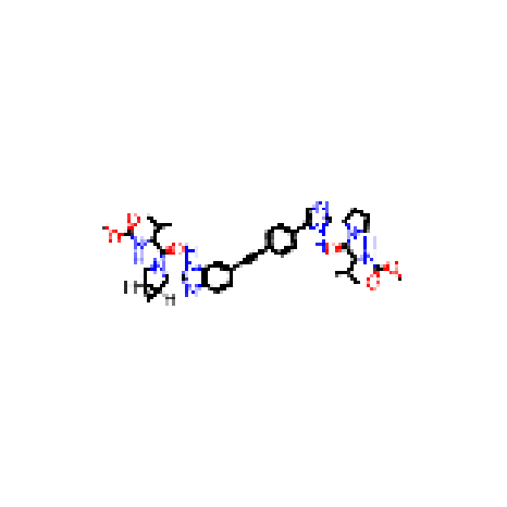 COC(=O)N[C@H](C(=O)N1C[C@@H]2C[C@@H]2[C@H]1c1nc2ccc(C#Cc3ccc(-c4cnc([C@@H]5CCCN5C(=O)[C@@H](NC(=O)OC)C(C)C)[nH]4)cc3)cc2[nH]1)C(C)C